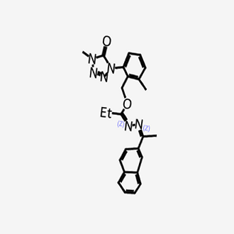 CC/C(=N/N=C(/C)c1ccc2ccccc2c1)OCc1c(C)cccc1-n1nnn(C)c1=O